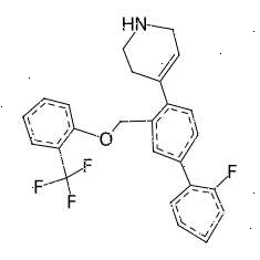 Fc1ccccc1-c1ccc(C2=CCNCC2)c(COc2ccccc2C(F)(F)F)c1